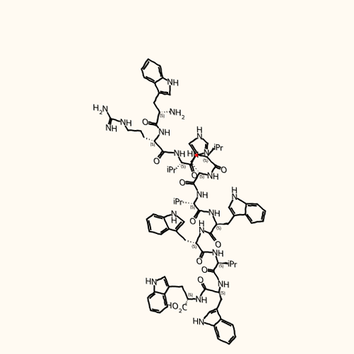 CC(C)[C@H](NC(=O)[C@H](Cc1c[nH]c2ccccc12)NC(=O)[C@H](Cc1c[nH]c2ccccc12)NC(=O)[C@@H](NC(=O)[C@H](Cc1c[nH]cn1)NC(=O)[C@@H](NC(=O)[C@@H](NC(=O)[C@H](CCCNC(=N)N)NC(=O)[C@@H](N)Cc1c[nH]c2ccccc12)C(C)C)C(C)C)C(C)C)C(=O)N[C@@H](Cc1c[nH]c2ccccc12)C(=O)N[C@@H](Cc1c[nH]c2ccccc12)C(=O)O